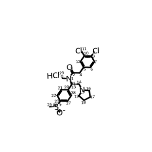 CN(C(=O)Cc1ccc(Cl)c(Cl)c1)[C@@H](CN1CCCC1)c1ccc([S@+](C)[O-])cc1.Cl